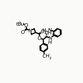 Cc1ccc(C(OC(=O)C2CN(C(=O)OC(C)(C)C)C2)[C@H](C)Nc2ccccc2N)cc1